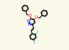 Fc1ccc(/C=C/c2cc(OCc3ccccc3)c(OCc3ccccc3)nn2)c(F)c1